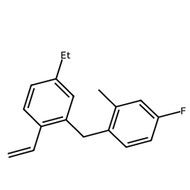 C=Cc1ccc(CC)cc1Cc1ccc(F)cc1C